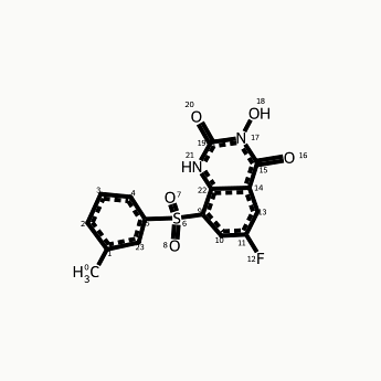 Cc1cccc(S(=O)(=O)c2cc(F)cc3c(=O)n(O)c(=O)[nH]c23)c1